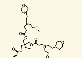 C=CC(=O)OCC(CC)(COC(=O)CCN(CCOC)CCN1CCOCC1)COC(=O)CCN(CCOC)CCN1CCOCC1